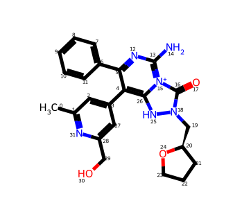 Cc1cc(-c2c(-c3ccccc3)nc(N)[n+]3c(=O)n(C[C@H]4CCCO4)[nH]c23)cc(CO)n1